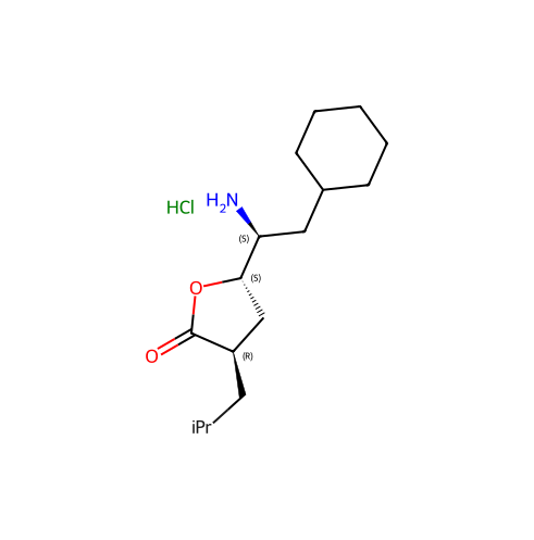 CC(C)C[C@@H]1C[C@@H]([C@@H](N)CC2CCCCC2)OC1=O.Cl